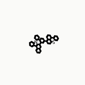 c1ccc(-n2c3ccccc3c3c4ccccc4cc(-c4cccc(-c5ccc6c7c(cccc57)-c5ccccc5S6)c4)c32)cc1